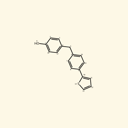 Oc1ccc(Cc2ccc(-c3cccs3)cc2)cc1